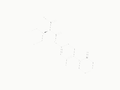 CC(C)CN(CC(C)(C)C)[C@@H](C(N)=O)C(=O)Nc1ccc(N2CCOCC2=O)c(F)c1